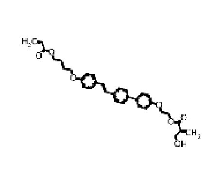 C=CC(=O)OCCCCOc1ccc(/C=C/c2ccc(-c3ccc(OCCOC(=O)C(=C)CO)cc3)cc2)cc1